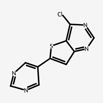 Clc1ncnc2cc(-c3cncnc3)sc12